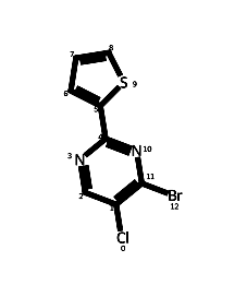 Clc1cnc(-c2cccs2)nc1Br